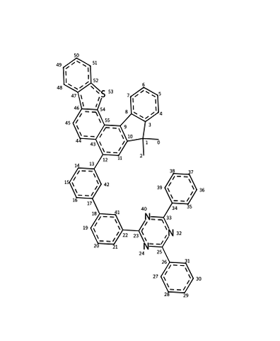 CC1(C)c2ccccc2-c2c1cc(-c1cccc(-c3cccc(-c4nc(-c5ccccc5)nc(-c5ccccc5)n4)c3)c1)c1ccc3c4ccccc4sc3c21